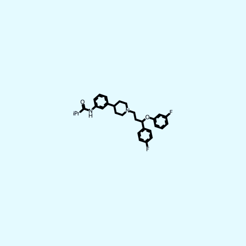 CC(C)C(=O)Nc1cccc(C2CCN(CCC(Oc3cccc(F)c3)c3ccc(F)cc3)CC2)c1